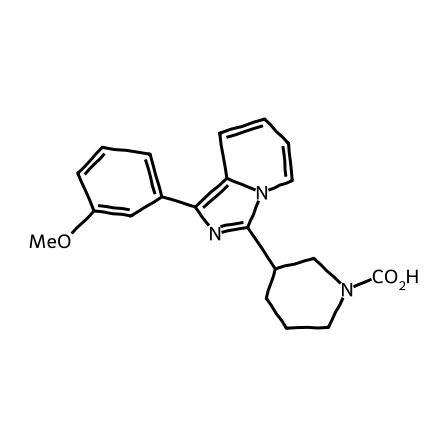 COc1cccc(-c2nc(C3CCCN(C(=O)O)C3)n3ccccc23)c1